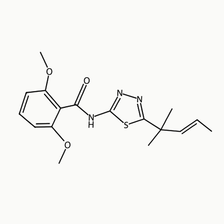 CC=CC(C)(C)c1nnc(NC(=O)c2c(OC)cccc2OC)s1